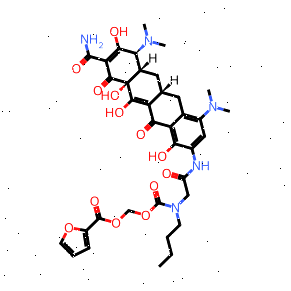 CCCCN(CC(=O)Nc1cc(N(C)C)c2c(c1O)C(=O)C1=C(O)[C@]3(O)C(=O)C(C(N)=O)=C(O)[C@@H](N(C)C)[C@@H]3C[C@@H]1C2)C(=O)OCOC(=O)c1ccco1